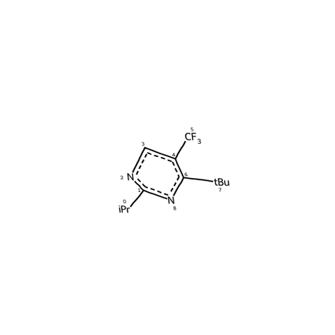 CC(C)c1ncc(C(F)(F)F)c(C(C)(C)C)n1